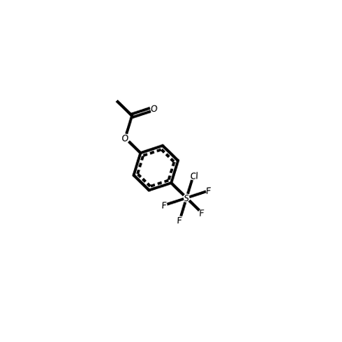 CC(=O)Oc1ccc(S(F)(F)(F)(F)Cl)cc1